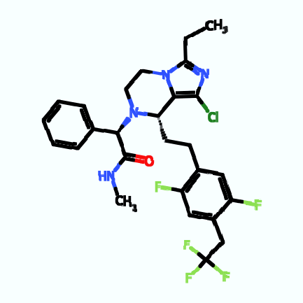 CCc1nc(Cl)c2n1CCN([C@@H](C(=O)NC)c1ccccc1)[C@H]2CCc1cc(F)c(CC(F)(F)F)cc1F